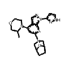 CC1COCCN1c1cc(N2CC3CCC(C2)O3)nc2c1cnn2-c1cc[nH]n1